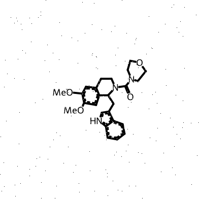 COc1cc2c(cc1OC)C(Cc1c[nH]c3ccccc13)N(C(=O)N1CCOCC1)CC2